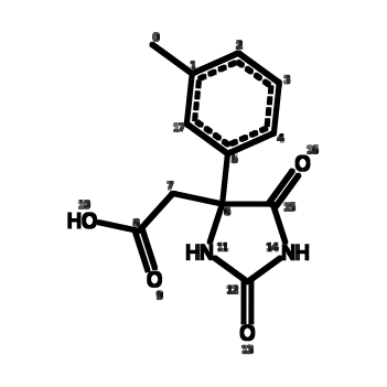 Cc1cccc(C2(CC(=O)O)NC(=O)NC2=O)c1